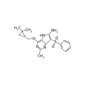 Cc1nc(OCC2CC2(C)C)c2[nH]c(N)c(S(=O)(=O)c3ccccc3)c2n1